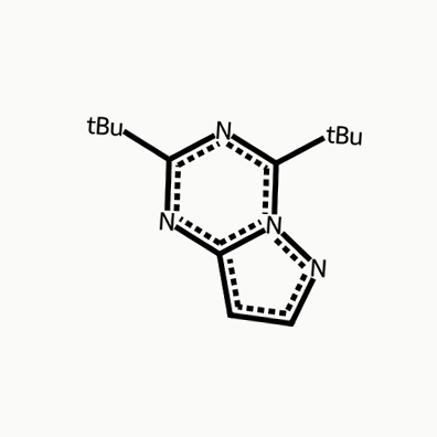 CC(C)(C)c1nc(C(C)(C)C)n2nccc2n1